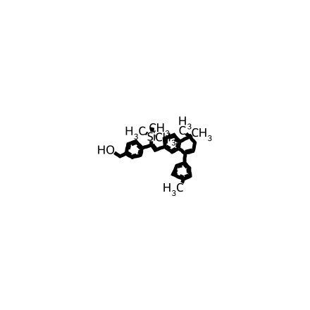 Cc1ccc(C2=CCC(C)(C)c3ccc(/C=C(/c4ccc(CO)cc4)[Si](C)(C)C)cc32)cc1